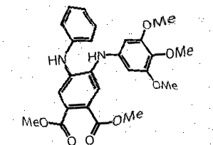 COC(=O)c1cc(Nc2ccccc2)c(Nc2cc(OC)c(OC)c(OC)c2)cc1C(=O)OC